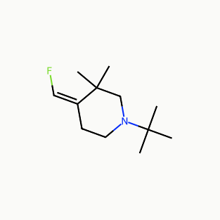 CC1(C)CN(C(C)(C)C)CC/C1=C/F